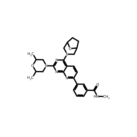 CNC(=O)c1cccc(-c2ccc3c(N4CC5CCC(C4)O5)nc(N4CC(C)OC(C)C4)nc3n2)c1